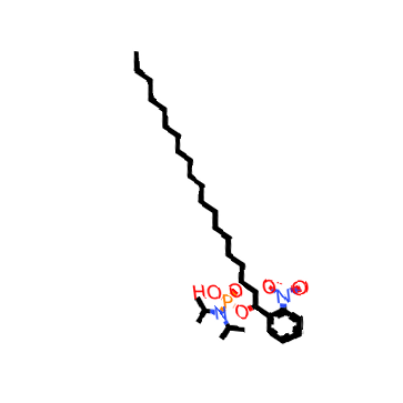 CCCCCCCCCCCCCCCCCCCC(OP(=O)(O)N(C(C)C)C(C)C)c1ccccc1[N+](=O)[O-]